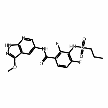 CCCS(=O)(=O)Nc1c(F)ccc(C(=O)Nc2cnc3[nH]nc(OC)c3c2)c1F